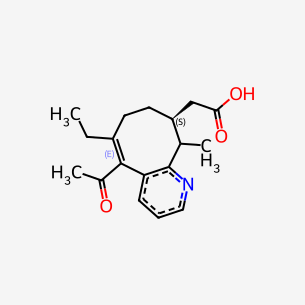 CC/C1=C(\C(C)=O)c2cccnc2C(C)[C@H](CC(=O)O)CC1